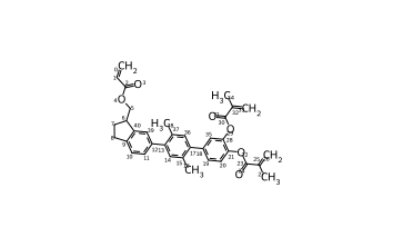 C=CC(=O)OCC1CCc2ccc(-c3cc(C)c(-c4ccc(OC(=O)C(=C)C)c(OC(=O)C(=C)C)c4)cc3C)cc21